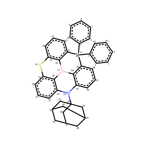 c1ccc([Si]2(c3ccccc3)c3cccc4c3B3c5c(cccc5N(C56CC7CC(CC(C7)C5)C6)c5cccc2c53)S4)cc1